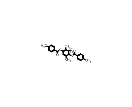 Cc1ccc(C(=O)Sc2cc(C)c(SC(=O)c3ccc(C)cc3)c(C)c2C)cc1